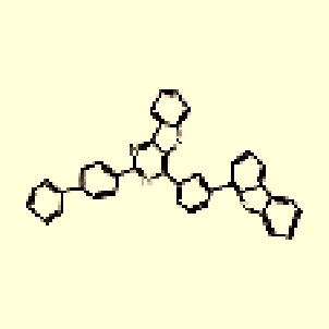 c1ccc(-c2ccc(-c3nc(-c4cccc(-c5cccc6c5sc5ccccc56)c4)c4sc5ccccc5c4n3)cc2)cc1